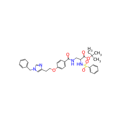 CC(C)(C)OC(=O)C(CNC(=O)c1ccc(OCCc2cn(Cc3ccccc3)cn2)cc1)NS(=O)(=O)c1ccccc1